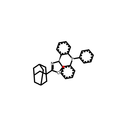 c1ccc(P(c2ccccc2)c2ccccc2[C@H]2COC(C34CC5CC(CC(C5)C3)C4)=N2)cc1